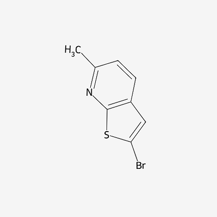 Cc1ccc2cc(Br)sc2n1